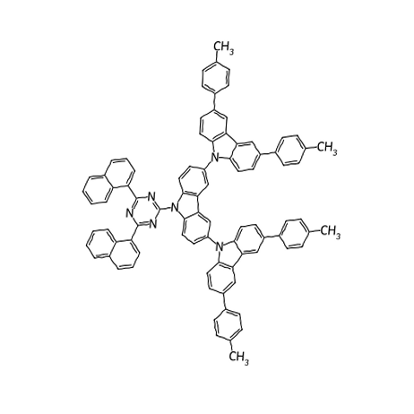 Cc1ccc(-c2ccc3c(c2)c2cc(-c4ccc(C)cc4)ccc2n3-c2ccc3c(c2)c2cc(-n4c5ccc(-c6ccc(C)cc6)cc5c5cc(-c6ccc(C)cc6)ccc54)ccc2n3-c2nc(-c3cccc4ccccc34)nc(-c3cccc4ccccc34)n2)cc1